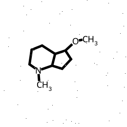 COC1CCC2C1CCCN2C